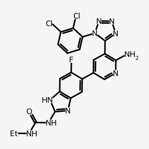 CCNC(=O)Nc1nc2cc(-c3cnc(N)c(-c4nnnn4-c4cccc(Cl)c4Cl)c3)c(F)cc2[nH]1